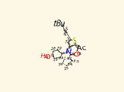 CC(=O)c1sc(C#CC(C)(C)C)cc1N(C(=O)C1CCCCC1)[C@H]1CC[C@@H](O)CC1